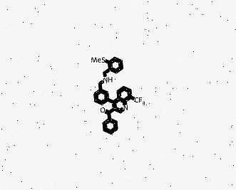 CSc1ccccc1CNCc1cccc(-c2c(C(=O)c3ccccc3)cnc3c(C(F)(F)F)cccc23)c1